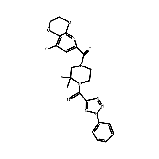 CC1(C)CN(C(=O)c2cc(Cl)c3c(n2)OCCO3)CCN1C(=O)c1nnn(-c2ccccc2)n1